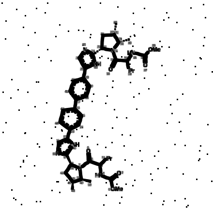 COC(=O)NC(C(=O)N1[C@H](c2ncc(-c3ccc(-c4ccc(-c5cnc([C@@H]6C[C@H](C)[C@H](C)N6C(=O)C(NC(=O)OC)C(C)C)[nH]5)cc4)cc3)[nH]2)C[C@H](C)[C@@H]1C)C(C)C